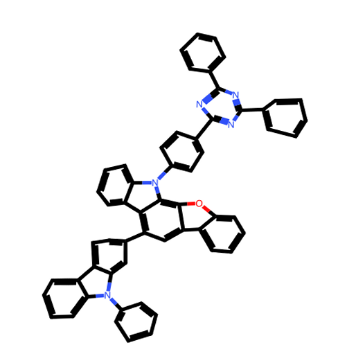 c1ccc(-c2nc(-c3ccccc3)nc(-c3ccc(-n4c5ccccc5c5c(-c6ccc7c8ccccc8n(-c8ccccc8)c7c6)cc6c7ccccc7oc6c54)cc3)n2)cc1